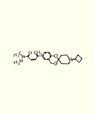 C=C(/C=C\C(=O)N(C)N)c1ccc2c(c1)COC1(CCN(C3CCC3)CC1)O2